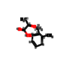 CC(=O)C(=O)O.Cc1ccccc1C